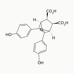 O=C(O)[C@@H]1[C@H](C(=O)O)[C@H]2O[C@@H]1C(c1ccc(O)cc1)=C2c1ccc(O)cc1